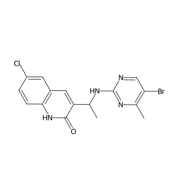 Cc1nc(NC(C)c2cc3cc(Cl)ccc3[nH]c2=O)ncc1Br